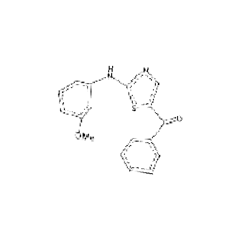 COc1cccc(Nc2ncc(C(=O)c3ccccc3)s2)c1